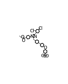 CCOC(=O)c1ccc(-n2cc(-c3ccc(Cl)cc3Cl)nc2Cc2ccc(-c3ccc(Oc4ccc(S(C)(=O)=O)cc4)cc3)cc2)cc1